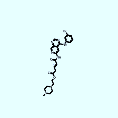 CN1CCN(CCOC(=O)C/C=C/C(=O)Nc2cc3c(Nc4cccc(Br)c4)ncnc3cn2)CC1